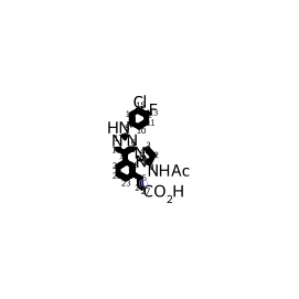 CC(=O)Nc1ccn(-c2nc(Nc3ccc(F)c(Cl)c3)ncc2-c2cccc(/C=C/C(=O)O)c2)n1